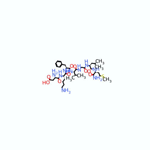 CSCC[C@H](NC(=O)[C@H](CC(C)C)NC(=O)CNC(=O)[C@@H](NC(=O)[C@H](Cc1ccccc1)NC(=O)[C@H](CCCCN)NC(=O)[C@@H](N)CC(=O)O)C(C)C)C(N)=O